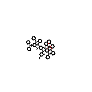 Fc1ccc(N2c3cc4c(cc3B3c5ccccc5N(c5ccccc5-c5ccccc5)c5cc(N(c6ccccc6)c6ccccc6-c6ccccc6)cc2c53)B2c3ccccc3N(c3ccccc3)c3cc(N(c5ccccc5)c5ccccc5)cc(c32)S4)c(F)c1